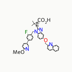 COc1ccc(-c2ccc(Cn3c([C@@H]4[C@H](C(=O)O)C4(C)C)nc4cc(OCc5ccc6ccccc6n5)ccc43)c(F)c2)cn1